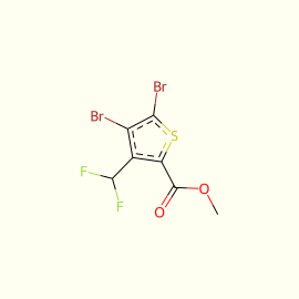 COC(=O)c1sc(Br)c(Br)c1C(F)F